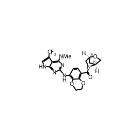 CNc1nc(Nc2ccc(C(=O)N3C[C@@H]4C[C@H]3CO4)c3c2OCCO3)nc2[nH]cc(C(F)(F)F)c12